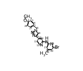 COc1ccc(Cn2cc(-c3ccnc(Nc4cc(C)cc(Br)n4)c3)nn2)cc1